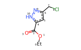 CCOC(=O)c1cc(CCl)n[nH]1